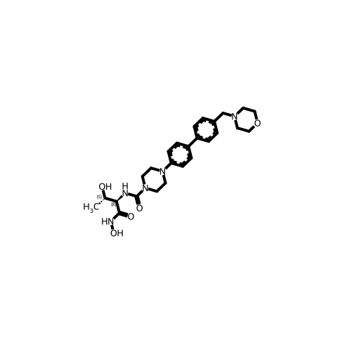 C[C@H](O)[C@@H](NC(=O)N1CCN(c2ccc(-c3ccc(CN4CCOCC4)cc3)cc2)CC1)C(=O)NO